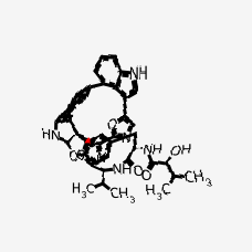 CC(C)[C@H](O)C(=O)N[C@H]1Cc2ccc3c(c2)[C@]24c5ccc(cc5NC2O3)-c2cccc3[nH]cc(c23)-c2cnc(o2)-c2nc(oc24)[C@H](C(C)C)NC1=O